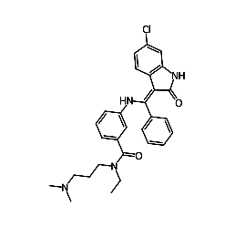 CCN(CCCN(C)C)C(=O)c1cccc(NC(=C2C(=O)Nc3cc(Cl)ccc32)c2ccccc2)c1